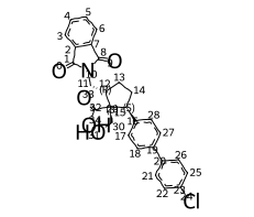 O=C1c2ccccc2C(=O)N1C[C@@H]1CC[C@@H](c2ccc(-c3ccc(Cl)cc3)cc2)[C@]1(CO)C(=O)O